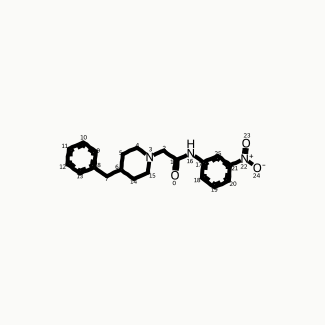 O=C(CN1CCC(Cc2ccccc2)CC1)Nc1cccc([N+](=O)[O-])c1